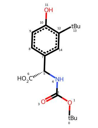 CC(C)(C)OC(=O)N[C@H](C(=O)O)c1ccc(O)c(C(C)(C)C)c1